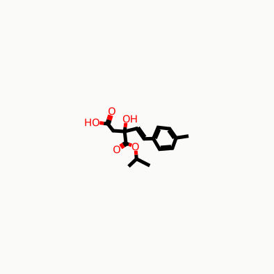 Cc1ccc(/C=C/C(O)(CC(=O)O)C(=O)OC(C)C)cc1